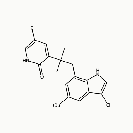 CC(C)(C)c1cc(CC(C)(C)c2cc(Cl)c[nH]c2=O)c2[nH]cc(Cl)c2c1